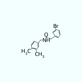 Cc1ccc(CNC(=O)Cc2cccc(Br)c2)cc1C